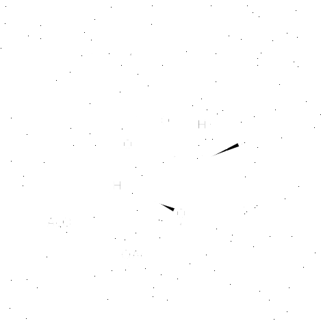 C=CC[C@@H]1O[C@@H]([C@@H](COC(C)=O)OC(C)=O)[C@H]2OC3(CCCCC3)O[C@H]2[C@H]1C